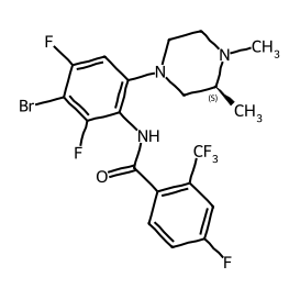 C[C@H]1CN(c2cc(F)c(Br)c(F)c2NC(=O)c2ccc(F)cc2C(F)(F)F)CCN1C